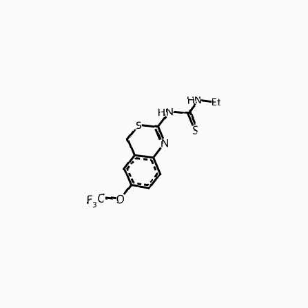 CCNC(=S)NC1=Nc2ccc(OC(F)(F)F)cc2CS1